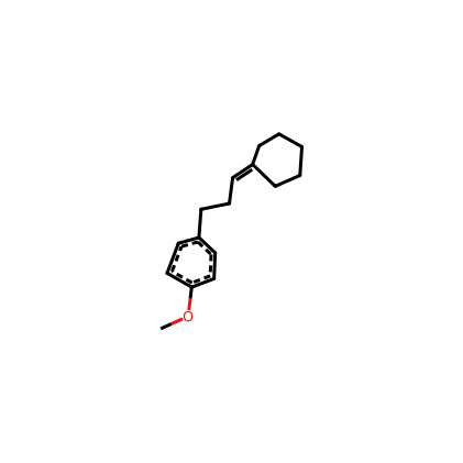 COc1ccc(CCC=C2CCCCC2)cc1